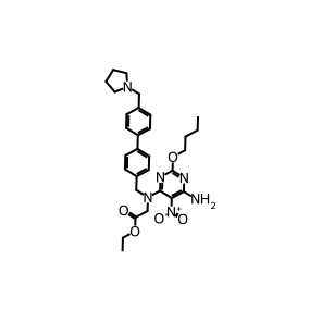 CCCCOc1nc(N)c([N+](=O)[O-])c(N(CC(=O)OCC)Cc2ccc(-c3ccc(CN4CCCC4)cc3)cc2)n1